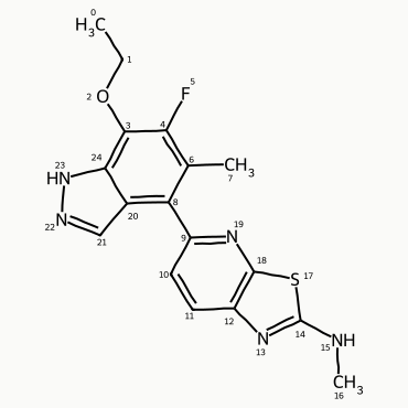 CCOc1c(F)c(C)c(-c2ccc3nc(NC)sc3n2)c2cn[nH]c12